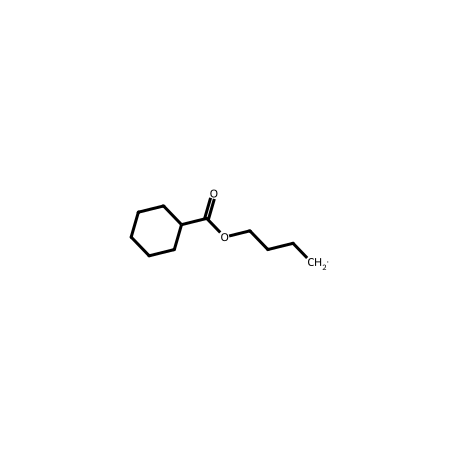 [CH2]CCCOC(=O)C1CCCCC1